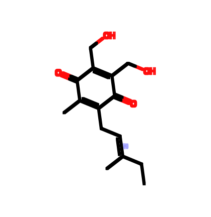 CC/C(C)=C/CC1=C(C)C(=O)C(CO)=C(CO)C1=O